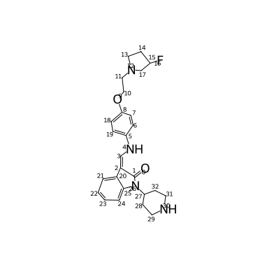 O=C1C(=CNc2ccc(OCCN3CCC(F)C3)cc2)c2ccccc2N1C1CCNCC1